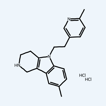 Cc1ccc2c(c1)c1c(n2CCc2ccc(C)nc2)CCNC1.Cl.Cl